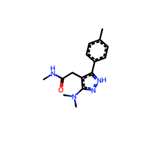 CNC(=O)Cc1c(N(C)C)n[nH]c1-c1ccc(C)cc1